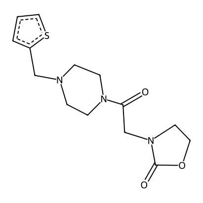 O=C(CN1CCOC1=O)N1CCN(Cc2cccs2)CC1